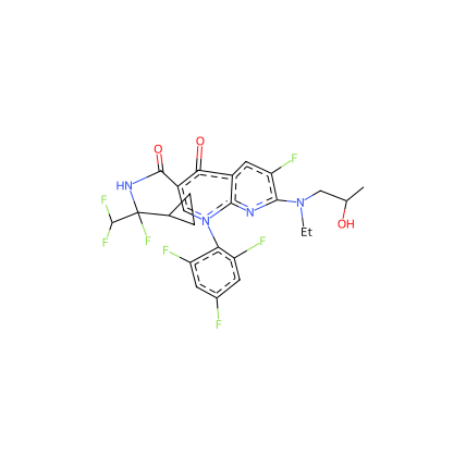 CCN(CC(C)O)c1nc2c(cc1F)c(=O)c(C(=O)NC(F)(C(F)F)C1CC1)cn2-c1c(F)cc(F)cc1F